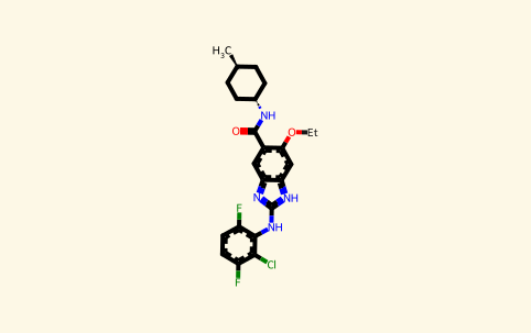 CCOc1cc2[nH]c(Nc3c(F)ccc(F)c3Cl)nc2cc1C(=O)N[C@H]1CC[C@H](C)CC1